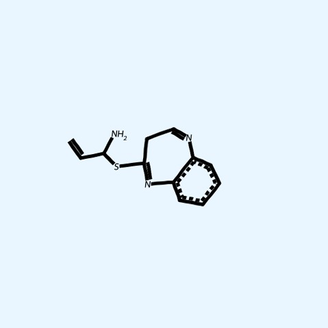 C=CC(N)SC1=Nc2ccccc2N=CC1